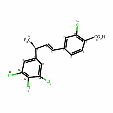 O=C(O)c1ccc(C=C[C@@H](c2cc(Cl)c(Cl)c(Cl)c2)C(F)(F)F)cc1Cl